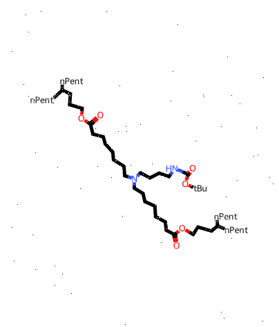 CCCCCC(CCCCC)CCCOC(=O)CCCCCCCN(CCCCCCCC(=O)OCCCC(CCCCC)CCCCC)CCCCNC(=O)OC(C)(C)C